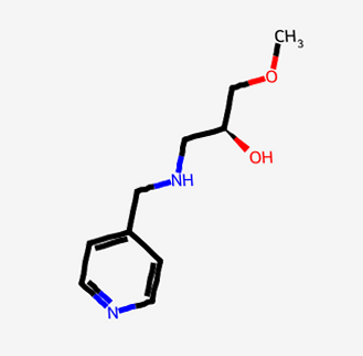 COC[C@@H](O)CNCc1ccncc1